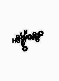 CCc1c(C#N)c(N2CCC(C(=O)NS(=O)(=O)Cc3ccccc3)CC2)nc(COCc2ccccc2)c1C(=O)O